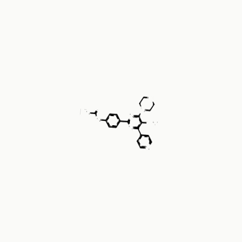 CCNC(=O)Nc1ccc(-c2nc(-c3ccncc3)c(SC)c(N3CCOCC3)n2)cc1